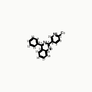 Fc1ccc(-c2nc(-c3ccccc3)c3ccccc3n2)cn1